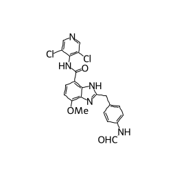 COc1ccc(C(=O)Nc2c(Cl)cncc2Cl)c2[nH]c(Cc3ccc(NC=O)cc3)nc12